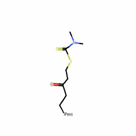 CCCC(C)CCC(=O)CCSC(=S)N(C)C